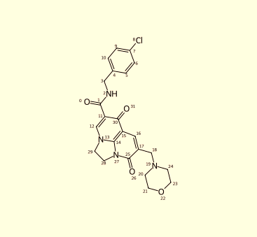 O=C(NCc1ccc(Cl)cc1)c1cn2c3c(cc(CN4CCOCC4)c(=O)n3CC2)c1=O